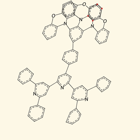 c1ccc(-c2cc(-c3cc(-c4ccc(-c5cc(N6c7ccccc7Oc7ccccc76)c(N6c7ccccc7Oc7ccccc76)c(N6c7ccccc7Oc7ccccc76)c5)cc4)cc(-c4cc(-c5ccccc5)nc(-c5ccccc5)c4)n3)cc(-c3ccccc3)n2)cc1